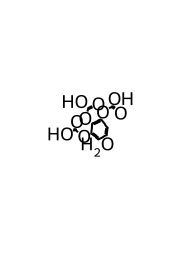 O.O=C(O)Oc1cccc(OC(=O)O)c1OC(=O)O